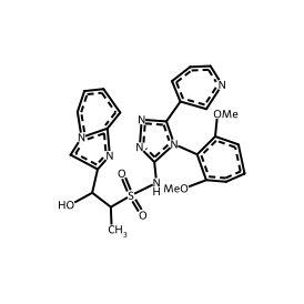 COc1cccc(OC)c1-n1c(NS(=O)(=O)C(C)C(O)c2cn3ccccc3n2)nnc1-c1cccnc1